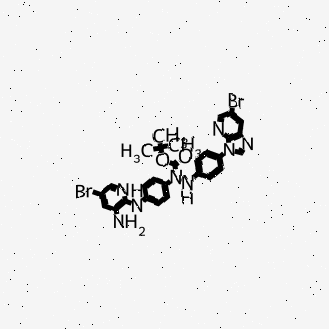 CC(C)(C)OC(=O)N(Nc1ccc(-n2cnc3cc(Br)cnc32)cc1)c1ccc(Nc2ncc(Br)cc2N)cc1